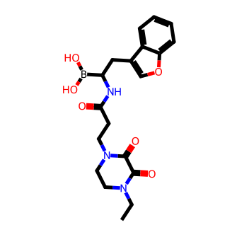 CCN1CCN(CCC(=O)NC(Cc2coc3ccccc23)B(O)O)C(=O)C1=O